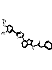 CC(C)Oc1ccc(-c2ncc(-c3cccc4c3CCC4NC(=O)CC3=CCCC=C3)s2)cc1C#N